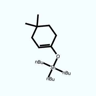 CCC[CH2][Sn]([CH2]CCC)([CH2]CCC)[O]C1=CCC(C)(C)CC1